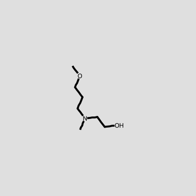 COCCCN(C)CCO